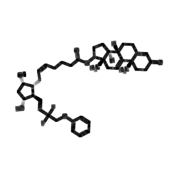 C[C@]12CCC(=O)C=C1CC[C@@H]1C2=CC[C@]2(C)C(OC(=O)CCC/C=C\C[C@@H]3[C@@H](/C=C/C(F)(F)COc4ccccc4)[C@H](O)C[C@@H]3O)CC[C@@H]12